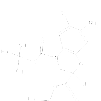 CCOC(=O)C1(C)CN(C(=O)OC(C)(C)C)c2cc(Cl)c(N)cc2O1